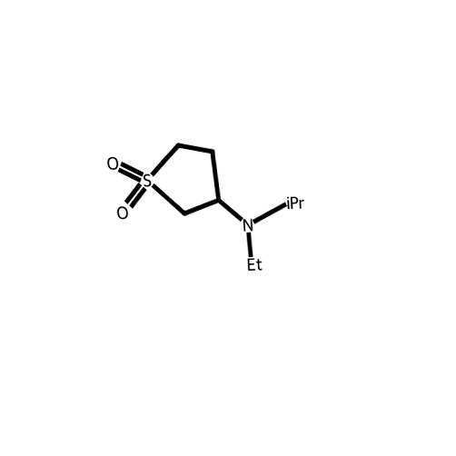 CCN(C(C)C)C1CCS(=O)(=O)C1